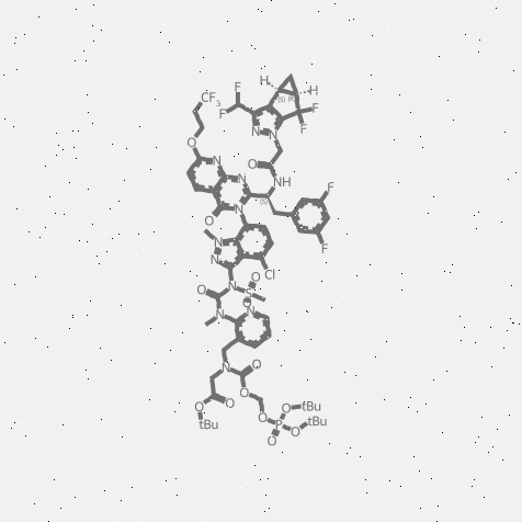 CN(C(=O)N(c1nn(C)c2c(-n3c([C@H](Cc4cc(F)cc(F)c4)NC(=O)Cn4nc(C(F)F)c5c4C(F)(F)[C@@H]4C[C@H]54)nc4nc(OCCC(F)(F)F)ccc4c3=O)ccc(Cl)c12)S(C)(=O)=O)c1ncccc1CN(CC(=O)OC(C)(C)C)C(=O)OCOP(=O)(OC(C)(C)C)OC(C)(C)C